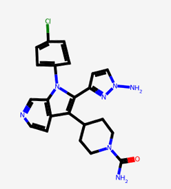 NC(=O)N1CCC(c2c(-c3ccn(N)n3)n(-c3ccc(Cl)cc3)c3cnccc23)CC1